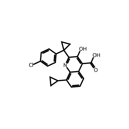 O=C(O)c1c(O)c(C2(c3ccc(Cl)cc3)CC2)nc2c(C3CC3)cccc12